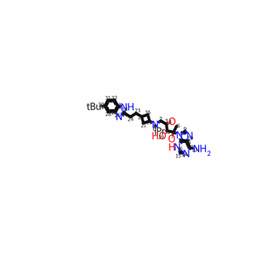 CC(C)N(CC1OCC(O)(n2cnc3c(N)ncnc32)C1O)C1CC(CCc2nc3cc(C(C)(C)C)ccc3[nH]2)C1